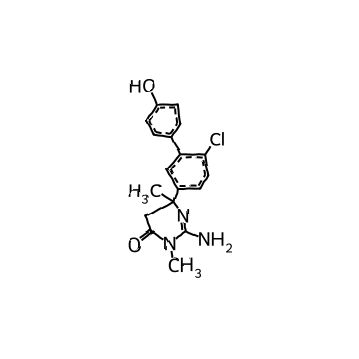 CN1C(=O)CC(C)(c2ccc(Cl)c(-c3ccc(O)cc3)c2)N=C1N